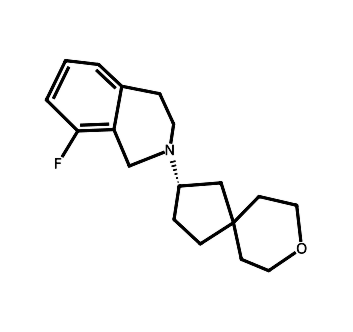 Fc1cccc2c1CN([C@H]1CCC3(CCOCC3)C1)CC2